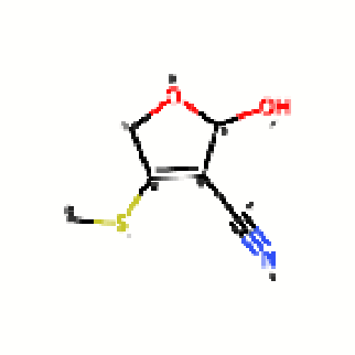 CSC1=C(C#N)C(O)OC1